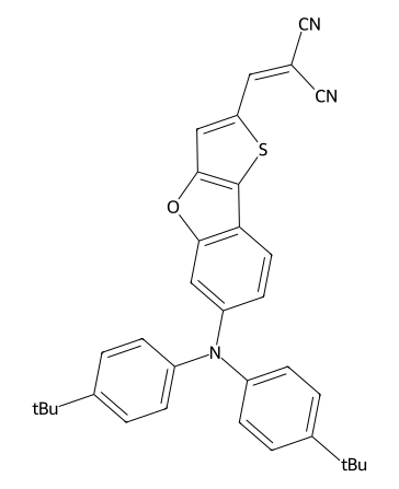 CC(C)(C)c1ccc(N(c2ccc(C(C)(C)C)cc2)c2ccc3c(c2)oc2cc(C=C(C#N)C#N)sc23)cc1